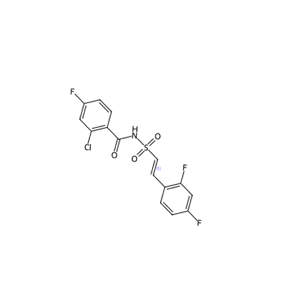 O=C(NS(=O)(=O)/C=C/c1ccc(F)cc1F)c1ccc(F)cc1Cl